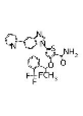 CC(Oc1cc(-n2cnc3cc(-c4ccccn4)ccc32)sc1C(N)=O)c1ccccc1C(F)(F)F